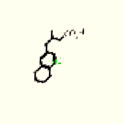 CC(CC(=O)O)Cc1ccc2c(c1)CCCC2.Cl